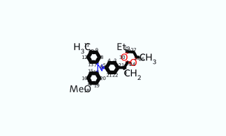 C=C(c1ccc(N(c2ccc(C)cc2)c2ccc(OC)cc2)cc1)C1OC(C)CC(CC)O1